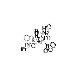 CC(C)CNC(=O)C[C@H](O)[C@H](CC1CCCCC1)NC(=O)[C@H](CC(C)C)N(C(=O)CCn1c(=O)oc2ccccc21)C(=O)[C@@H](N)Cc1ccccc1